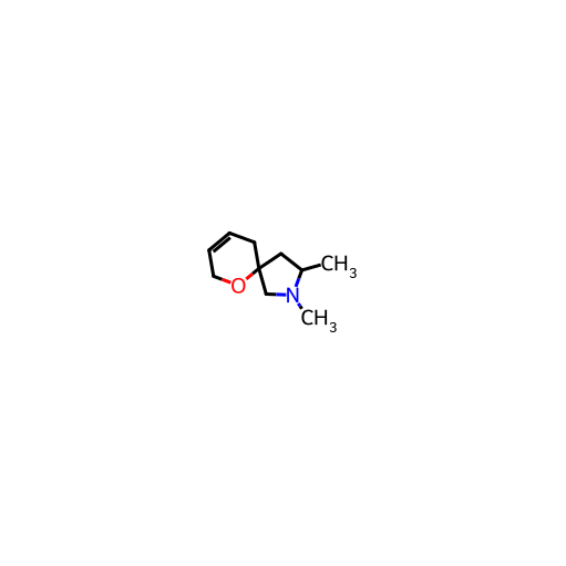 CC1CC2(CC=CCO2)CN1C